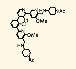 COc1cc(-c2nccc(-c3cccc(-c4ccc(CNC5CCN(C(C)=O)CC5)c(OC)n4)c3Cl)c2Cl)cnc1CNC1CCN(C(C)=O)CC1